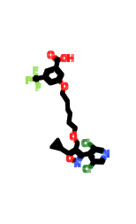 O=C(O)c1cc(OCCCCCCOCc2c(-c3c(Cl)cncc3Cl)noc2C2CC2)cc(C(F)(F)F)c1